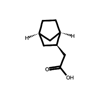 O=C(O)C[C@H]1C[C@H]2CC[C@@H]1C2